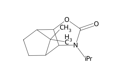 CC(C)N1C(=O)OC2C1C1CCC2C1(C)C